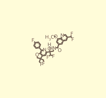 COc1cc(C(=O)NCC(O)(c2cc3c(c(-c4ccc(F)cc4)n2)OCC3(CF)CF)C(F)F)cc2cc(C(F)F)cnc12